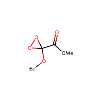 CCC(C)OC1(C(=O)OC)OO1